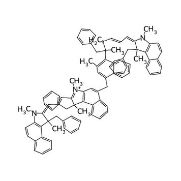 C=C(/C=C/C=C1/N(C)c2ccc3ccccc3c2C1(C)Cc1ccccc1)C(C)(Cc1ccccc1)c1c(C)cc(Cc2cc3c(c4ccccc24)C(C)(Cc2ccccc2)C(/C=C/C=C2/N(C)c4ccc5ccccc5c4C2(C)Cc2ccccc2)=[N+]3C)c2ccccc12